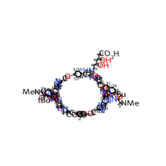 CN[C@@H](C)C(=O)N[C@H](C(=O)N1CC[C@@H]2[C@H]1C(=O)NC(=O)C[C@@H](Cc1ccc3ccccc3c1)C(=O)N[C@H](C(=O)NCC[C@@H](O)C[C@@H](O)CC(=O)O)Cc1ccc(cc1)OCc1cn(nn1)[C@@H]1CCN(C(=O)[C@@H](NC(=O)[C@H](C)NC)C(C)(C)C)[C@@H]1C(=O)N[C@@H](Cc1ccc3ccccc3c1)C(=O)N[C@H](C(=O)O)Cc1ccc(cc1)OCc1cn2nn1)C(C)(C)C